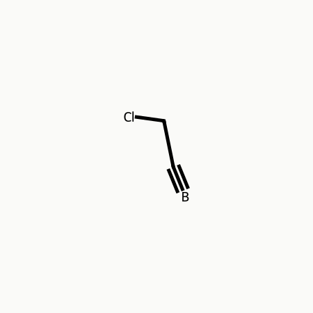 B#CCCl